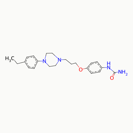 CCc1ccc(N2CCN(CCCOc3ccc(NC(N)=O)cc3)CC2)cc1